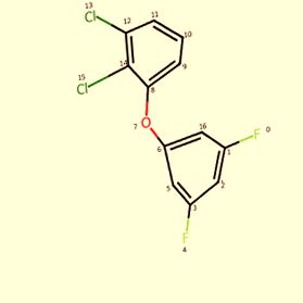 Fc1[c]c(F)cc(Oc2cccc(Cl)c2Cl)c1